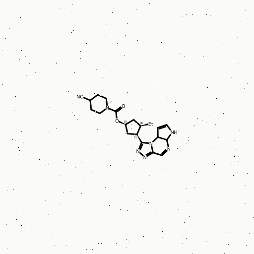 CC[C@@H]1C[C@H](OC(=O)N2CCC(C#N)CC2)C[C@@H]1c1nnc2n1C1C=CNC1N=C2